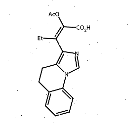 CC/C(=C(\OC(C)=O)C(=O)O)c1ncn2c1CCc1ccccc1-2